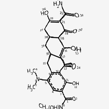 CN(O)C(=O)c1cc(N(C)C)c2c(c1O)C(=O)C1=C(O)C3C(=O)C(C(N)=O)=C(O)CC3CC1C2